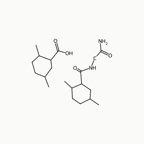 CC1CCC(C)C(C(=O)NCC(N)=O)C1.CC1CCC(C)C(C(=O)O)C1